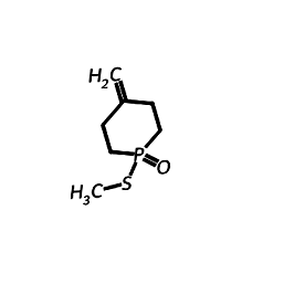 C=C1CCP(=O)(SC)CC1